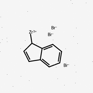 [Br-].[Br-].[Br-].[Zr+3][CH]1C=Cc2ccccc21